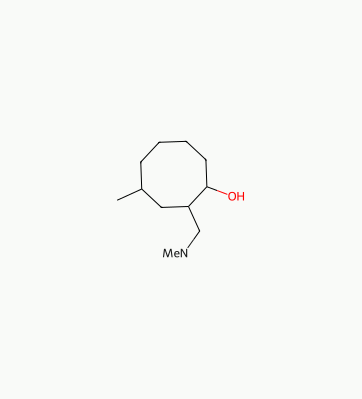 CNCC1CC(C)CCCCC1O